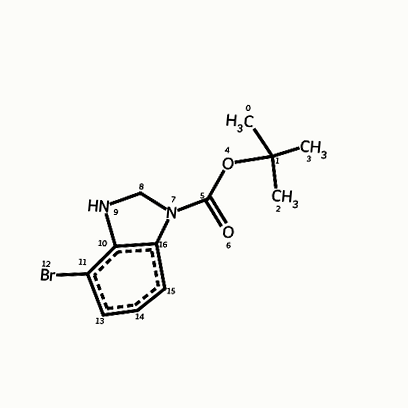 CC(C)(C)OC(=O)N1CNc2c(Br)cccc21